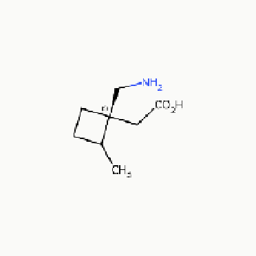 CC1CC[C@]1(CN)CC(=O)O